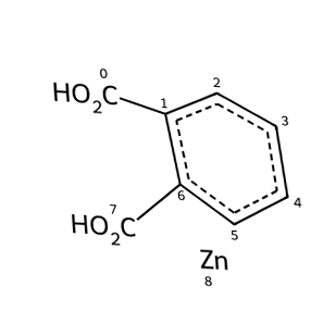 O=C(O)c1ccccc1C(=O)O.[Zn]